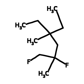 CCC(C)(CC)CC(C)(F)CF